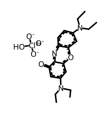 CCN(CC)c1cc2oc3cc(N(CC)CC)ccc3nc-2c(=O)c1.[O-][Cl+3]([O-])([O-])O